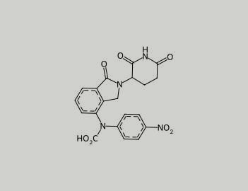 O=C1CCC(N2Cc3c(cccc3N(C(=O)O)c3ccc([N+](=O)[O-])cc3)C2=O)C(=O)N1